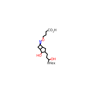 CCCCCCC(O)CCC1CC2C(=NOCCCC(=O)O)CC2C1O